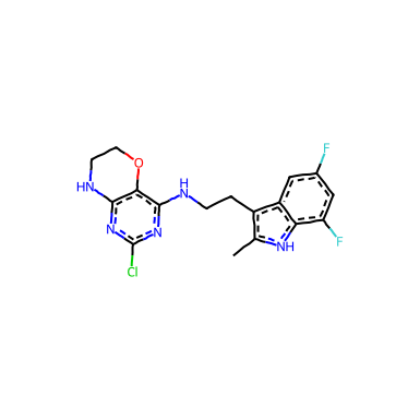 Cc1[nH]c2c(F)cc(F)cc2c1CCNc1nc(Cl)nc2c1OCCN2